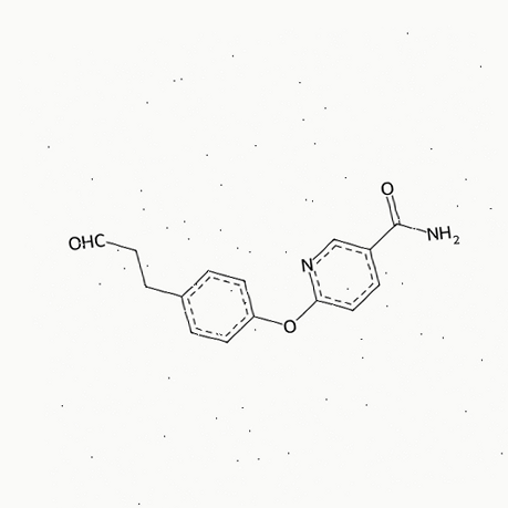 NC(=O)c1ccc(Oc2ccc(CCC=O)cc2)nc1